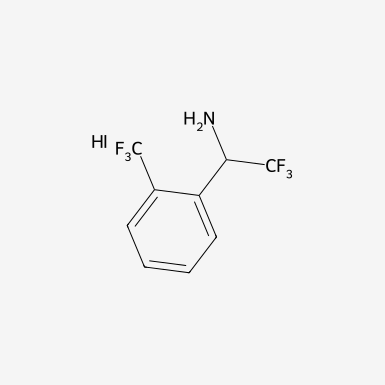 I.NC(c1ccccc1C(F)(F)F)C(F)(F)F